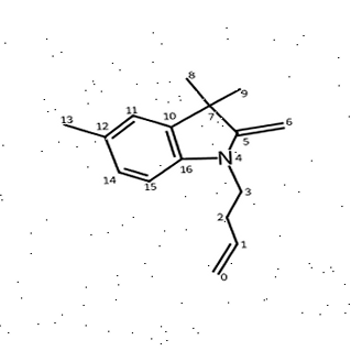 C=CCCN1C(=C)C(C)(C)c2cc(C)ccc21